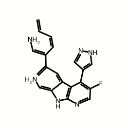 C=C/C=C\C(=C/N)C(=C)/C=c1\c(=C/N)[nH]c2ncc(F)c(-c3cn[nH]c3)c12